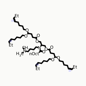 CC/C=C\CCCCOC(CCC(=O)OCC(COC(=O)CCC(OCCCC/C=C\CC)OCCCC/C=C\CC)N(CCCCN(C)C)C(=O)CCCCCCCC)OCCCC/C=C\CC